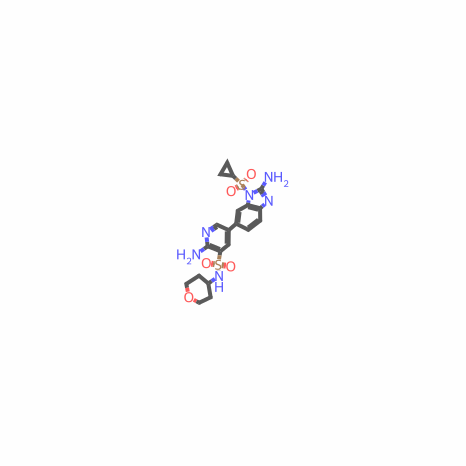 Nc1ncc(-c2ccc3nc(N)n(S(=O)(=O)C4CC4)c3c2)cc1S(=O)(=O)NC1CCOCC1